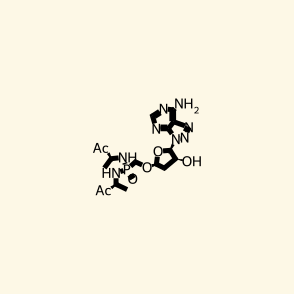 CC(=O)[C@H](C)NP(=O)(CO[C@@H]1C[C@@H](O)[C@H](n2nnc3c(N)ncnc32)O1)N[C@@H](C)C(C)=O